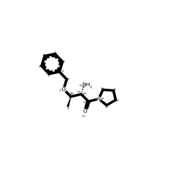 C[C@@H](OCc1ccccc1)[C@H](N)C(=O)N1CCCC1